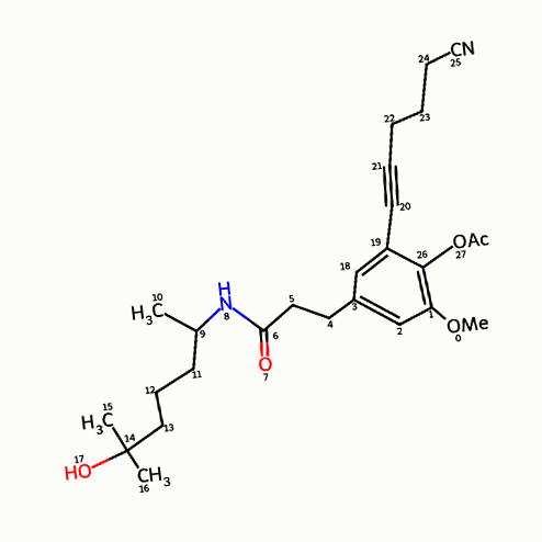 COc1cc(CCC(=O)NC(C)CCCC(C)(C)O)cc(C#CCCCC#N)c1OC(C)=O